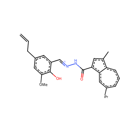 C=CCc1cc(/C=N/NC(=O)c2cc(C)c3cccc(C(C)C)cc2-3)c(O)c(OC)c1